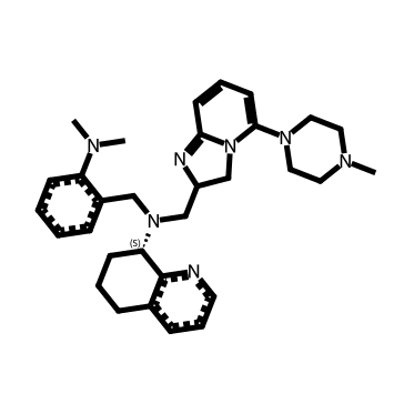 CN1CCN(C2=CC=CC3=NC(CN(Cc4ccccc4N(C)C)[C@H]4CCCc5cccnc54)CN23)CC1